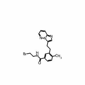 Cc1ccc(C(=O)NCCBr)cc1CCc1cnc2cccnn12